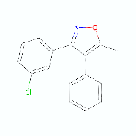 Cc1onc(-c2cccc(Cl)c2)c1-c1ccccc1